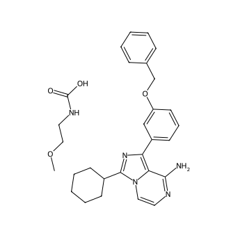 COCCNC(=O)O.Nc1nccn2c(C3CCCCC3)nc(-c3cccc(OCc4ccccc4)c3)c12